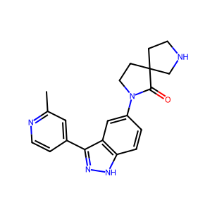 Cc1cc(-c2n[nH]c3ccc(N4CCC5(CCNC5)C4=O)cc23)ccn1